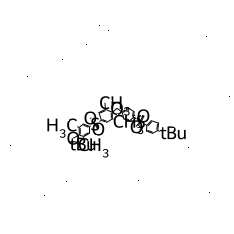 Cc1cc(S(=O)(=O)c2cc(C)c(OC(C)(C)C)c(C)c2)cc(C)c1Oc1ccc(S(=O)(=O)c2ccc(C(C)(C)C)cc2)cc1